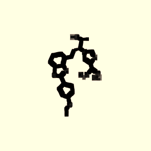 CCOc1ccc(-c2nc3c(CC[C@H]([C@H](C)O)n4cnc(C(N)=O)c4)cccc3o2)cc1.Cl